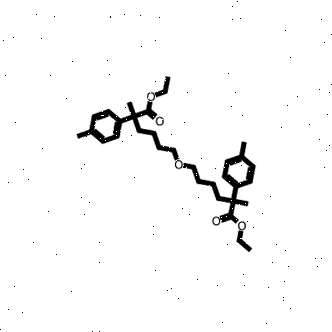 CCOC(=O)C(C)(CCCCOCCCCC(C)(C(=O)OCC)c1ccc(C)cc1)c1ccc(C)cc1